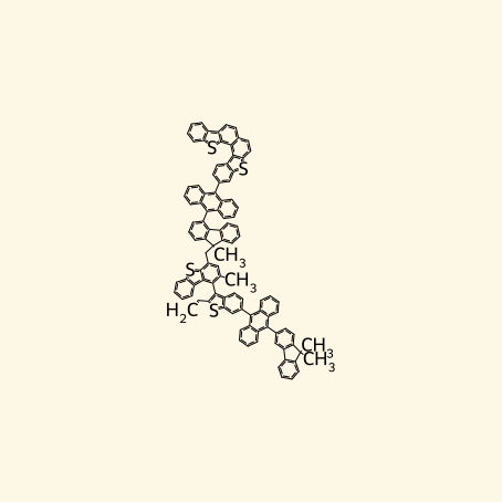 C=Cc1sc2cc(-c3c4ccccc4c(-c4ccc5c(c4)-c4ccccc4C5(C)C)c4ccccc34)ccc2c1-c1c(C)cc(CC2(C)c3ccccc3-c3c(-c4c5ccccc5c(-c5ccc6c(c5)sc5ccc7ccc8c9ccccc9sc8c7c56)c5ccccc45)cccc32)c2sc3ccccc3c12